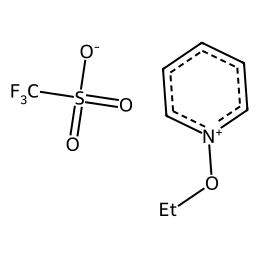 CCO[n+]1ccccc1.O=S(=O)([O-])C(F)(F)F